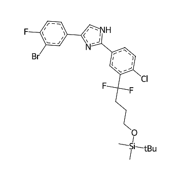 CC(C)(C)[Si](C)(C)OCCCC(F)(F)c1cc(-c2nc(-c3ccc(F)c(Br)c3)c[nH]2)ccc1Cl